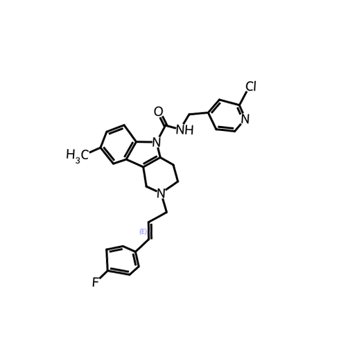 Cc1ccc2c(c1)c1c(n2C(=O)NCc2ccnc(Cl)c2)CCN(C/C=C/c2ccc(F)cc2)C1